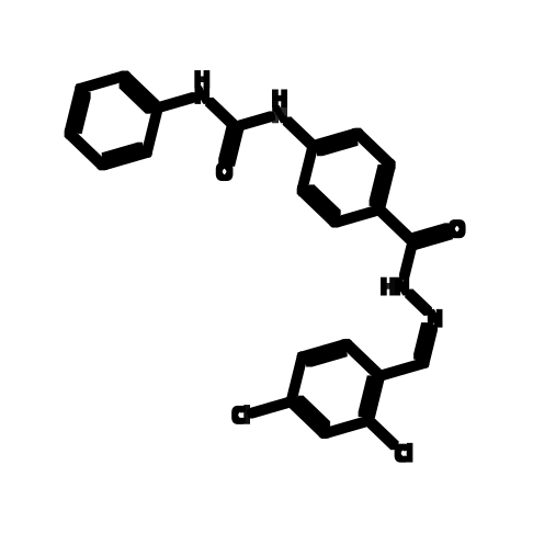 O=C(Nc1ccccc1)Nc1ccc(C(=O)N/N=C\c2ccc(Cl)cc2Cl)cc1